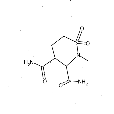 CN1C(C(N)=O)[C](C(N)=O)CCS1(=O)=O